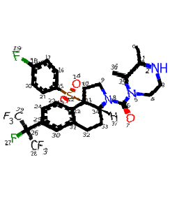 CC1NCCN(C(=O)N2CC[C@@]3(S(=O)(=O)c4ccc(F)cc4)c4ccc(C(F)(C(F)(F)F)C(F)(F)F)cc4CC[C@@H]23)C1C